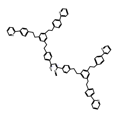 C=N/C(=C\C(=N/C)c1ccc(CCc2cc(CCc3ccc(-c4ccccn4)cc3)cc(CCc3ccc(-c4ccccn4)cc3)c2)cc1)c1ccc(CCc2cc(CCc3ccc(-c4ccccn4)cc3)cc(CCc3ccc(-c4ccccn4)cc3)c2)cc1